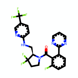 O=C(c1c(F)cccc1-c1ncccn1)N1CCC(F)(F)[C@H]1CNc1ccc(C(F)(F)F)cn1